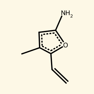 C=Cc1oc(N)cc1C